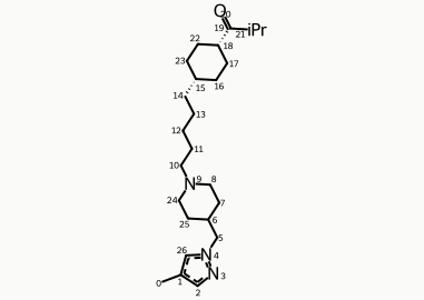 Cc1cnn(CC2CCN(CCCCC[C@H]3CC[C@@H](C(=O)C(C)C)CC3)CC2)c1